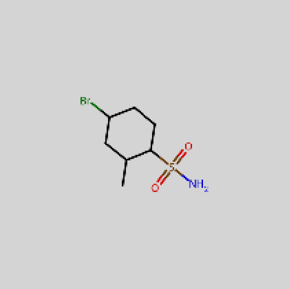 CC1CC(Br)CCC1S(N)(=O)=O